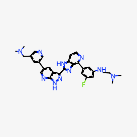 CN(C)CCNc1cc(F)cc(-c2nccc3[nH]c(-c4n[nH]c5ncc(-c6cncc(CN(C)C)c6)cc45)nc23)c1